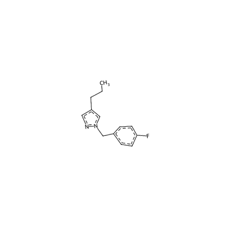 CCCc1cnn(Cc2ccc(F)cc2)c1